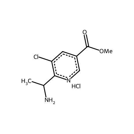 COC(=O)c1cnc(C(C)N)c(Cl)c1.Cl